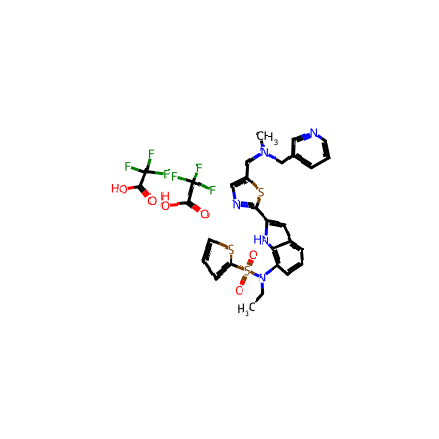 CCN(c1cccc2cc(-c3ncc(CN(C)Cc4cccnc4)s3)[nH]c12)S(=O)(=O)c1cccs1.O=C(O)C(F)(F)F.O=C(O)C(F)(F)F